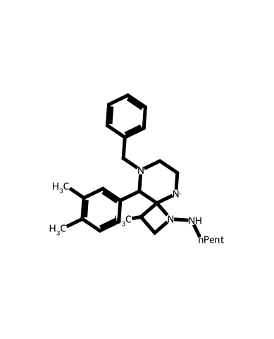 CCCCCNN1CC(C)C12[N]CCN(Cc1ccccc1)C2c1ccc(C)c(C)c1